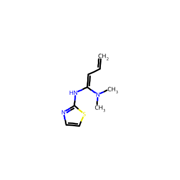 C=C/C=C(/Nc1nccs1)N(C)C